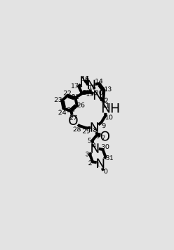 CN1CCN(CC(=O)N2CCNc3ccn4ncc(c4n3)-c3cccc(c3)OCC2)CC1